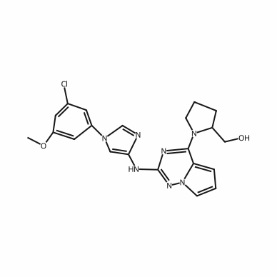 COc1cc(Cl)cc(-n2cnc(Nc3nc(N4CCCC4CO)c4cccn4n3)c2)c1